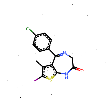 Cc1c(I)sc2c1C(c1ccc(Cl)cc1)=NCC(=O)N2